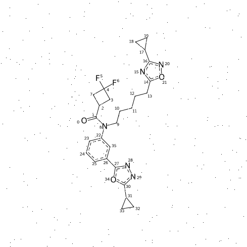 O=C(C1CC(F)(F)C1)N(CCCCCc1nc(C2CC2)no1)c1cccc(-c2nnc(C3CC3)o2)c1